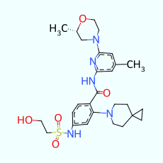 Cc1cc(NC(=O)c2ccc(NS(=O)(=O)CCO)cc2N2CCC3(CC2)CC3)nc(N2CCO[C@@H](C)C2)c1